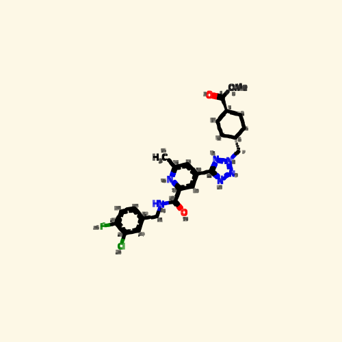 COC(=O)[C@H]1CC[C@H](Cn2nnc(-c3cc(C)nc(C(=O)NCc4ccc(F)c(Cl)c4)c3)n2)CC1